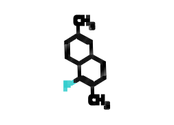 CC1=CC2C=CC(C)=C(F)C2C=C1